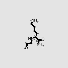 NCCCC[C@H](NCC=O)C(N)=O